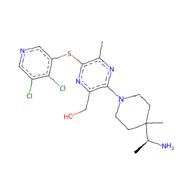 Cc1nc(N2CCC(C)([C@H](C)N)CC2)c(CO)nc1Sc1cncc(Cl)c1Cl